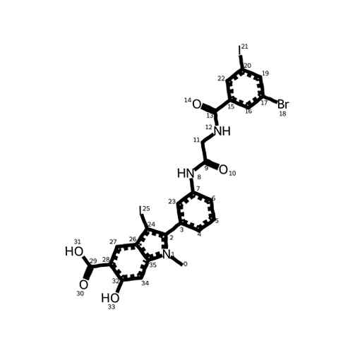 Cn1c(-c2cccc(NC(=O)CNC(=O)c3cc(Br)cc(I)c3)c2)c(I)c2cc(C(=O)O)c(O)cc21